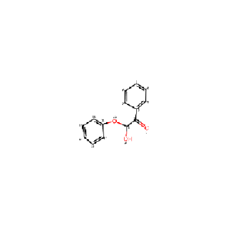 O=C(c1ccccc1)C(O)Oc1ccccc1